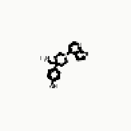 NCC1(c2ccc(O)cc2)CCN(c2ccnc3[nH]ccc23)CC1